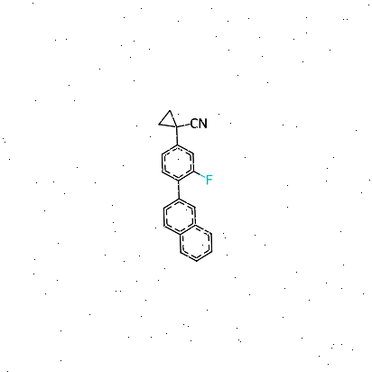 N#CC1(c2ccc(-c3ccc4ccccc4c3)c(F)c2)CC1